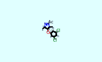 CC(=O)n1nc(C)c(Oc2cc(Cl)cc(Cl)c2)c1C